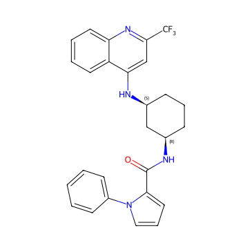 O=C(N[C@@H]1CCC[C@H](Nc2cc(C(F)(F)F)nc3ccccc23)C1)c1cccn1-c1ccccc1